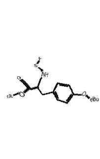 CC(C)(C)OC(=O)C(Cc1ccc(OC(C)(C)C)cc1)NSF